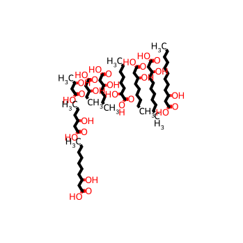 CC(O)CC(=O)O.CCC(O)CC(=O)O.CCCC(O)CC(=O)O.CCCCC(O)CC(=O)O.CCCCCCC(O)C(=O)O.CCCCCCC(O)CC(=O)O.CCCCCCCC(O)CC(=O)O.CCCCCCCCC(O)CC(=O)O.CCCCCCCCCC(O)CC(=O)O